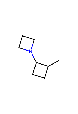 CC1CCC1N1CCC1